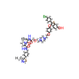 Cc1ncsc1-c1ccc(CNC(=O)[C@@H]2CCCN2C(=O)C(NC(=O)COCCN2CCN(CCOc3ccc(Oc4c(-c5ccc(Br)cc5)sc5cc(O)ccc45)cc3)CC2)C(C)(C)C)cc1